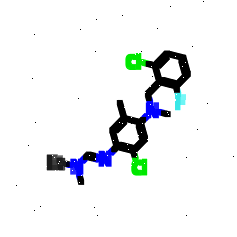 CCN(C)C=Nc1cc(C)c(N(C)Cc2c(F)cccc2Cl)cc1Cl